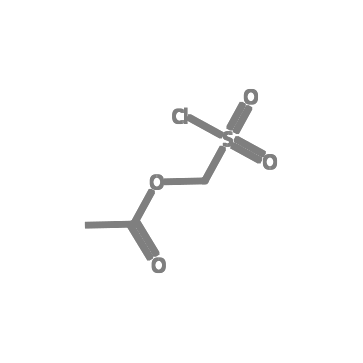 CC(=O)OCS(=O)(=O)Cl